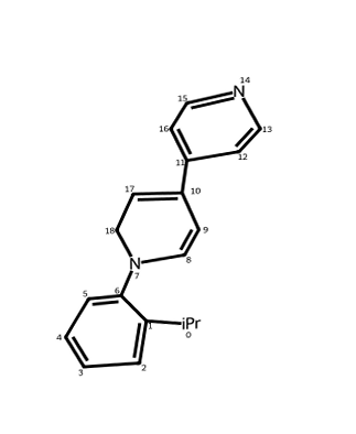 CC(C)c1ccccc1N1C=CC(c2ccncc2)=CC1